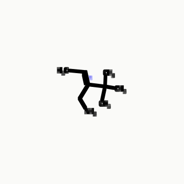 C/C=C(\CN)C(C)(C)C